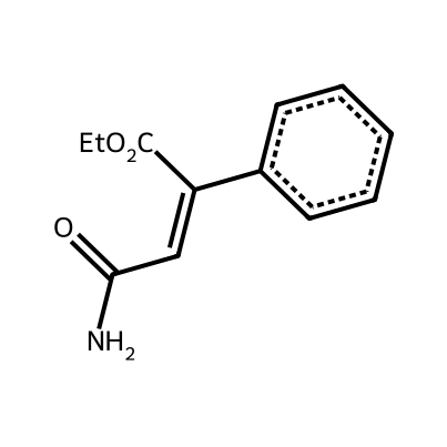 CCOC(=O)C(=CC(N)=O)c1ccccc1